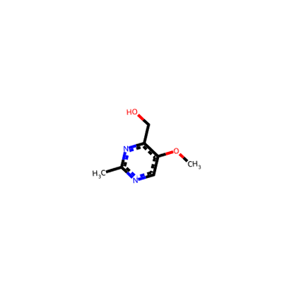 COc1cnc(C)nc1CO